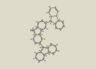 C1=CC2c3ccccc3N(c3ccc4[nH]c5ccc(-n6c7ccccc7c7ccccc76)cc5c4c3)C2C=C1